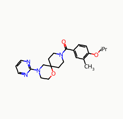 Cc1cc(C(=O)N2CCC3(CC2)CN(c2ncccn2)CCO3)ccc1OC(C)C